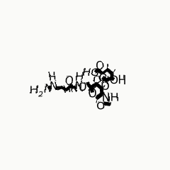 CC(=O)NC1[C@H](C)OC(CONNC(=O)CCCNN)[C@@H](O)[C@@H]1O[C@@H]1OC(C(=O)O)[C@@H](C)[C@H](C)C1O